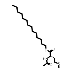 CCCCCCCCCCCCCCOC(=O)[C@H](CCSC)NC(C)=O